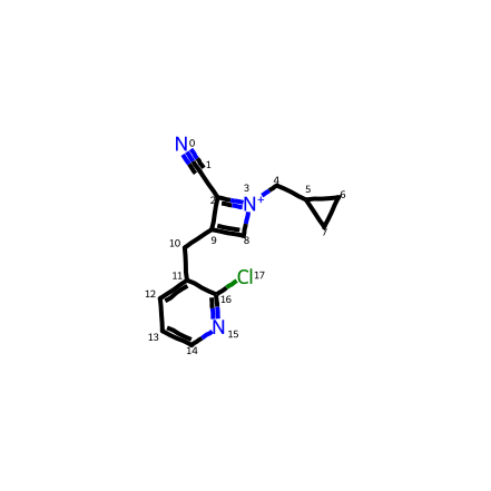 N#CC1=[N+](CC2CC2)C=C1Cc1cccnc1Cl